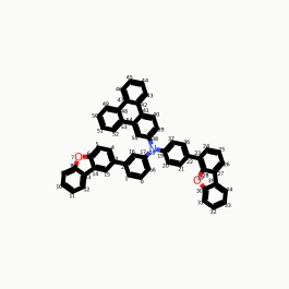 c1cc(-c2ccc3oc4ccccc4c3c2)cc(N(c2ccc(-c3cccc4c3oc3ccccc34)cc2)c2ccc3c4ccccc4c4ccccc4c3c2)c1